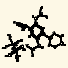 CC(C)Oc1cc(N2CCOCC2)c(OC(C)C)cc1[N+]#N.O=S(=O)([O-])C(F)(F)F